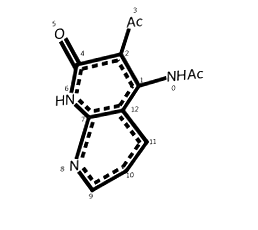 CC(=O)Nc1c(C(C)=O)c(=O)[nH]c2ncccc12